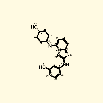 Oc1cc(Nc2nc3cccc(N[C@H]4CC[C@@H](O)CC4)n3n2)ccn1